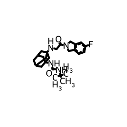 CC(C)(C)NC(=O)NC12CC3CC(CC(NCC(=O)N4Cc5ccc(F)cc5C4)(C3)C1)C2